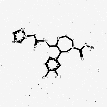 CC(C)(C)OC(=O)N1CCOC(CNC(=O)Cn2cncn2)C(c2ccc(Cl)c(Cl)c2)C1